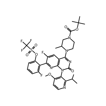 COc1ccnc(C(C)C)c1-n1c(=O)nc(N2CCN(C(=O)OC(C)(C)C)CC2C)c2cc(F)c(-c3c(F)cccc3OS(=O)(=O)C(F)(F)F)nc21